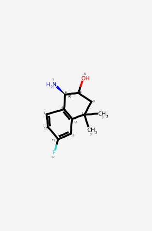 CC1(C)CC(O)[C@H](N)c2ccc(F)cc21